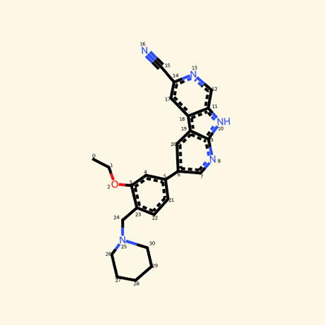 CCOc1cc(-c2cnc3[nH]c4cnc(C#N)cc4c3c2)ccc1CN1CCCCC1